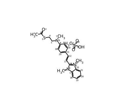 CC(=O)SCCN(C)c1ccc(C=Cc2n(C)c3ccccc3[n+]2C)cc1.CS(=O)(=O)O